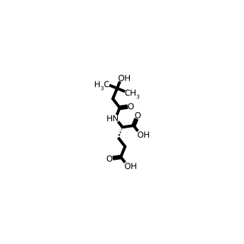 CC(C)(O)CC(=O)N[C@@H](CCC(=O)O)C(=O)O